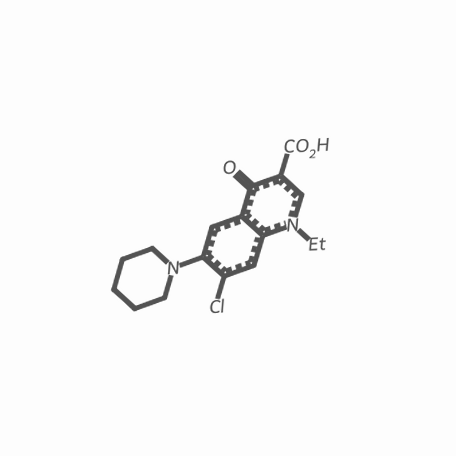 CCn1cc(C(=O)O)c(=O)c2cc(N3CCCCC3)c(Cl)cc21